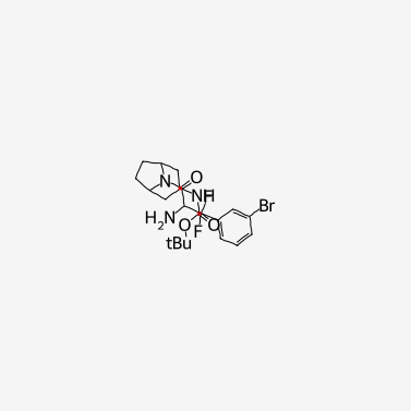 CC(C)(C)OC(=O)NC1CC2CCC(C1)N2C(=O)C(N)C(F)(F)c1cccc(Br)c1